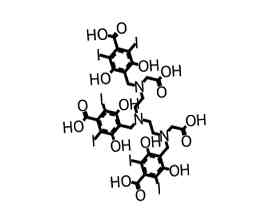 O=C(O)CN(CCN(CCN(CC(=O)O)Cc1c(O)c(I)c(C(=O)O)c(I)c1O)Cc1c(O)c(I)c(C(=O)O)c(I)c1O)Cc1c(O)c(I)c(C(=O)O)c(I)c1O